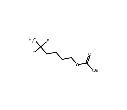 CC(F)(F)CCCCOC(=O)C(C)(C)C